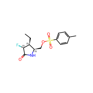 CC[C@@H]1[C@H](F)C(=O)N[C@@H]1COS(=O)(=O)c1ccc(C)cc1